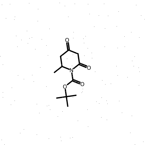 CC1CC(=O)CC(=O)N1C(=O)OC(C)(C)C